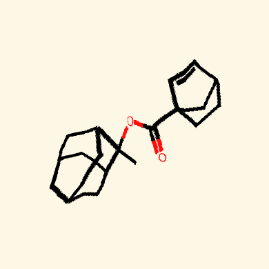 CC1(OC(=O)C23C=CC(CC2)C3)C2CC3CC(C2)CC1C3